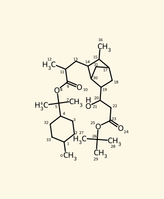 CC1CCC(C(C)(C)OC(=O)C(C)CC2C(C)C3CC(C(O)CC(=O)OC(C)(C)C)C2C3)CC1